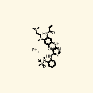 C=CC(=O)Nc1cc(Nc2cc(Nc3ccccc3N(C)S(C)(=O)=O)ncn2)c(OC)cc1N(C)CCN(C)C.P